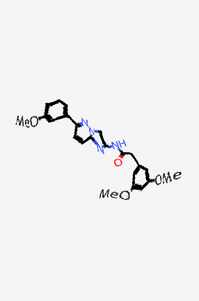 COc1cc(CC(=O)Nc2cn3nc(-c4cccc(OC)c4)ccc3n2)cc(OC)c1